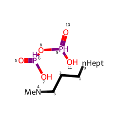 CCCCCCCCCCNC.O=[PH](O)O[PH](=O)O